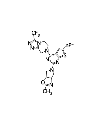 CCCc1cc2c(N3CCn4c(nnc4C(F)(F)F)C3)nc(N3CC4N=C(C)OC4C3)nc2s1